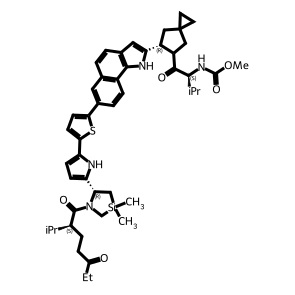 CCC(=O)CC[C@H](C(=O)N1C[Si](C)(C)C[C@H]1c1ccc(-c2ccc(-c3ccc4c(ccc5cc([C@@H]6CC7(CC7)CC6C(=O)[C@@H](NC(=O)OC)C(C)C)[nH]c54)c3)s2)[nH]1)C(C)C